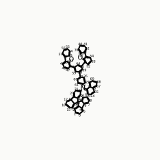 c1ccc2c(c1)-c1ccccc1C21c2ccccc2-c2ccc(N(c3ccc(-c4cc(-c5cccc6c5oc5ccccc56)cc(-c5cccc6c5oc5ccccc56)c4)cc3)c3cccc4ccccc34)cc21